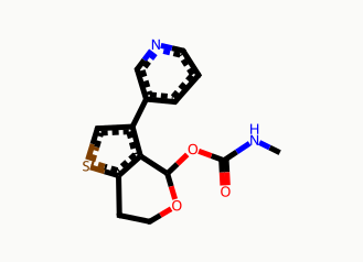 CNC(=O)OC1OCCc2scc(-c3cccnc3)c21